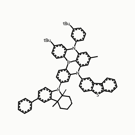 Cc1cc2c3c(c1)N(c1cccc(C(C)(C)C)c1)c1cc(C(C)(C)C)ccc1B3c1ccc(N3c4ccc(-c5ccccc5)cc4C4(C)CCCCC34C)cc1N2c1ccc2sc3ccccc3c2c1